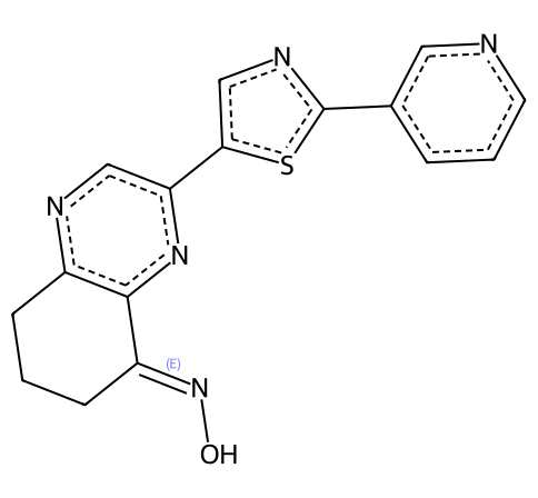 O/N=C1\CCCc2ncc(-c3cnc(-c4cccnc4)s3)nc21